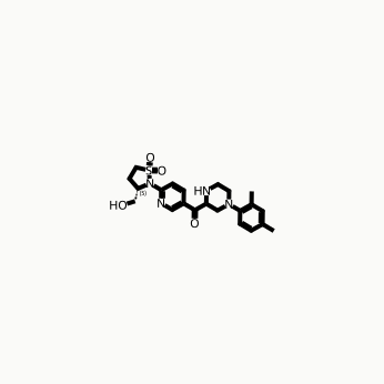 Cc1ccc(N2CCNC(C(=O)c3ccc(N4[C@H](CO)CCS4(=O)=O)nc3)C2)c(C)c1